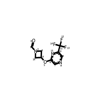 O=CN1CC(Oc2cncc(C(F)(F)F)n2)C1